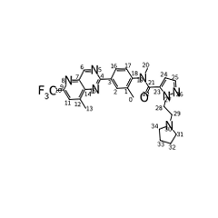 Cc1cc(-c2ncc3nc(C(F)(F)F)cc(C)c3n2)ccc1N(C)C(=O)c1ccnn1CCN1CCCC1